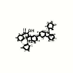 OC1Nc2ccccc2-c2c1c1cc(-c3ccc4c(c3)c3ccccc3n4-c3ccccc3)ccc1n2-c1ccccc1